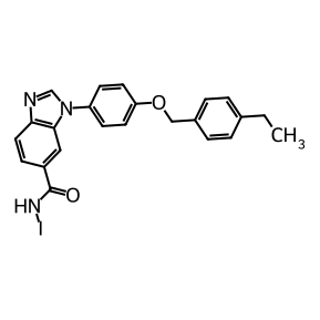 CCc1ccc(COc2ccc(-n3cnc4ccc(C(=O)NI)cc43)cc2)cc1